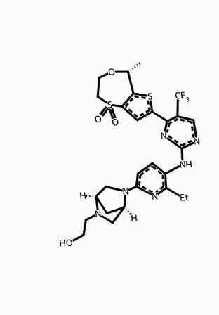 CCc1nc(N2C[C@H]3C[C@@H]2CN3CCO)ccc1Nc1ncc(C(F)(F)F)c(-c2cc3c(s2)[C@@H](C)OCCS3(=O)=O)n1